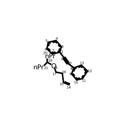 C(#Cc1ccccc1)c1ccccc1.C=CCCOC(CCC)CCC